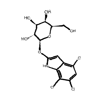 OC[C@H]1O[C@@H](Oc2cc3c(Cl)cc(Cl)c(Cl)c3[nH]2)[C@H](O)[C@@H](O)[C@H]1O